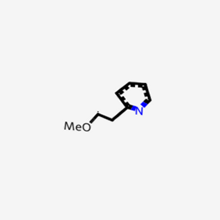 CO[CH]Cc1ccccn1